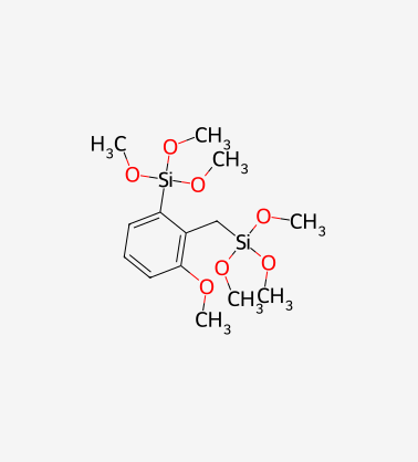 COc1cccc([Si](OC)(OC)OC)c1C[Si](OC)(OC)OC